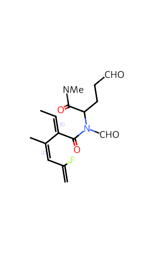 C=C(F)/C=C(C)\C(=C/C)C(=O)N(C=O)C(CCC=O)C(=O)NC